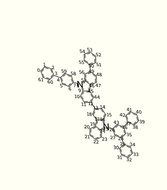 c1ccc(-c2ccc(-n3c4ccc(-c5ccc6c(c5)c5ccccc5n6-c5cc(-c6ccccc6)cc(-c6ccccc6)c5)cc4c4ccc(-c5ccccc5)cc43)cc2)cc1